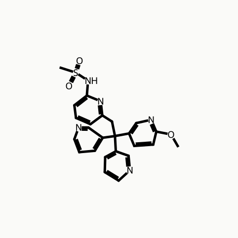 COc1ccc(C(Cc2cccc(NS(C)(=O)=O)n2)(c2cccnc2)c2cccnc2)cn1